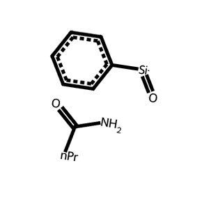 CCCC(N)=O.O=[Si]c1ccccc1